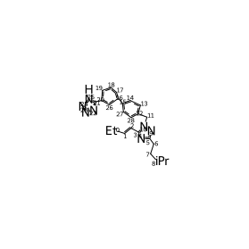 CCC=Cc1nc(CCC(C)C)nn1Cc1ccc(-c2cccc(-c3nnn[nH]3)c2)cc1